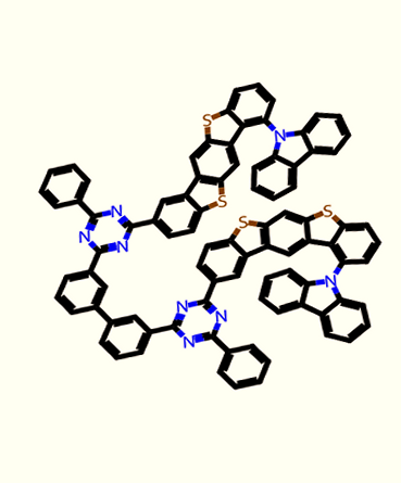 c1ccc(-c2nc(-c3cccc(-c4cccc(-c5nc(-c6ccccc6)nc(-c6ccc7sc8cc9sc%10cccc(-n%11c%12ccccc%12c%12ccccc%12%11)c%10c9cc8c7c6)n5)c4)c3)nc(-c3ccc4sc5cc6c(cc5c4c3)sc3cccc(-n4c5ccccc5c5ccccc54)c36)n2)cc1